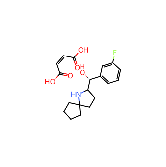 O=C(O)/C=C\C(=O)O.O[C@H](c1cccc(F)c1)C1CCC2(CCCC2)N1